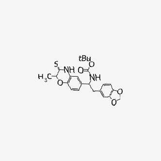 CC1Oc2ccc(C(Cc3ccc4c(c3)OCO4)NC(=O)OC(C)(C)C)cc2NC1=S